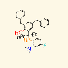 CCCC(CC)(Pc1ccc(F)cc1N(C)C)c1cc(Cc2ccccc2)cc(Cc2ccccc2)c1O